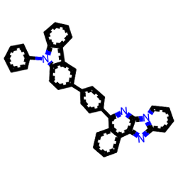 c1ccc(-n2c3ccccc3c3cc(-c4ccc(-c5nc6c(nc7ccccn76)c6ccccc56)cc4)ccc32)cc1